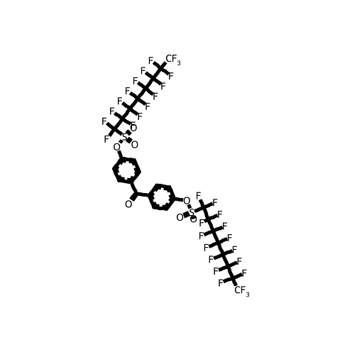 O=C(c1ccc(OS(=O)(=O)C(F)(F)C(F)(F)C(F)(F)C(F)(F)C(F)(F)C(F)(F)C(F)(F)C(F)(F)F)cc1)c1ccc(OS(=O)(=O)C(F)(F)C(F)(F)C(F)(F)C(F)(F)C(F)(F)C(F)(F)C(F)(F)C(F)(F)F)cc1